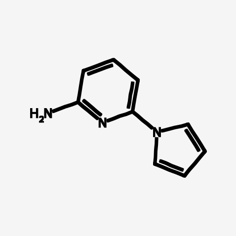 Nc1cccc(-n2cccc2)n1